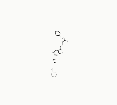 Cc1cc2c(CCc3sc(-c4ccc(C(F)(F)F)cc4)nc3C(C)C)noc2cc1OC(C)(C)C(=O)OCCN1CCCCC1